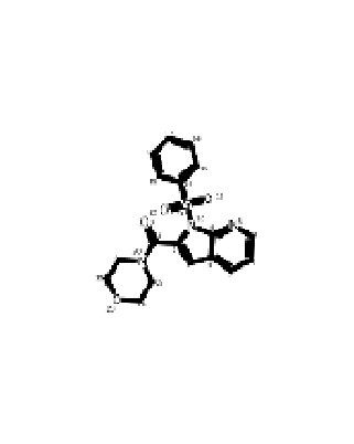 O=C(c1cc2cccnc2n1S(=O)(=O)c1ccccc1)N1CCOCC1